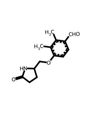 Cc1c(C=O)ccc(OCC2CCC(=O)N2)c1C